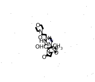 C[C@]1(N/C=C\[N+](=N)CC(=O)N2CCOCC2)[C@H](C=O)N2C(=O)CC2S1(=O)=O